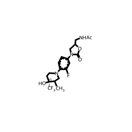 CC(=O)NCC1CN(c2ccc(N3CC[C@@](O)(C(F)(F)F)C(C)C3)c(F)c2)C(=O)O1